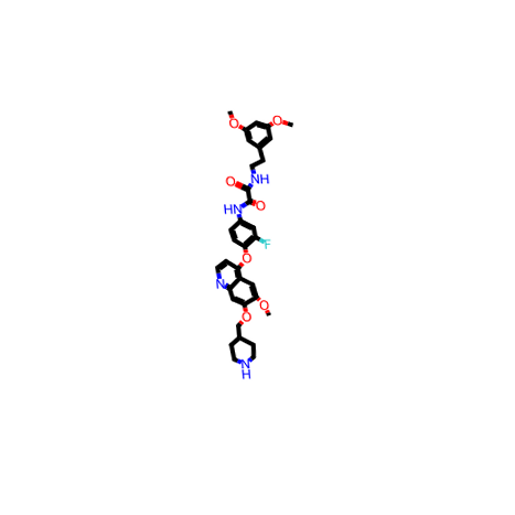 COc1cc(CCNC(=O)C(=O)Nc2ccc(Oc3ccnc4cc(OCC5CCNCC5)c(OC)cc34)c(F)c2)cc(OC)c1